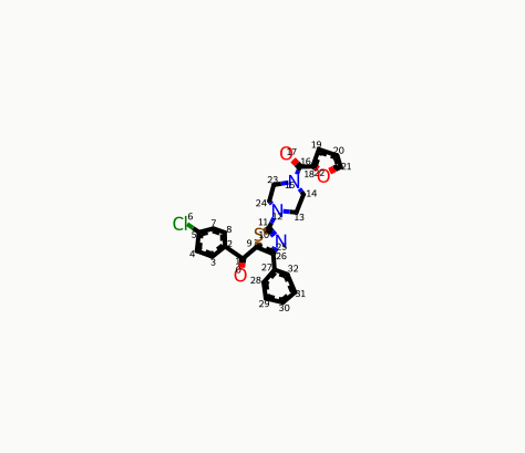 O=C(c1ccc(Cl)cc1)c1sc(N2CCN(C(=O)c3ccco3)CC2)nc1-c1ccccc1